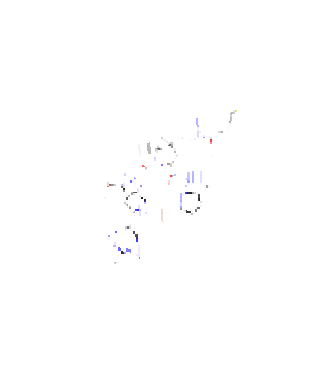 COCc1ccc(Br)nc1NC(=O)[C@@H]1C[C@@]2(CCNC(=O)C(C)(C)CC=S)C[C@H]2N1C(=O)Cn1nc(C(C)=O)c2cc(-c3cnc(C)nc3)ncc21